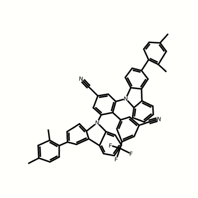 Cc1ccc(-c2ccc3c(c2)c2ccccc2n3-c2cc(C#N)cc(-n3c4ccccc4c4cc(-c5ccc(C)cc5C)ccc43)c2-c2cc(C#N)cc(C(F)(F)F)c2)c(C)c1